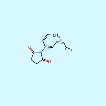 C\C=C/C=C(\C=C/C)N1C(=O)CCC1=O